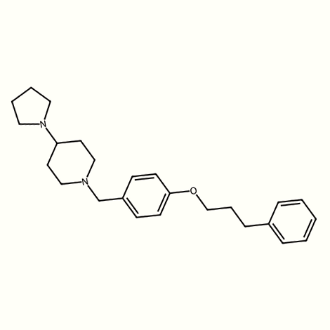 c1ccc(CCCOc2ccc(CN3CCC(N4CCCC4)CC3)cc2)cc1